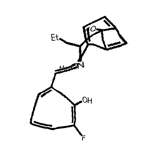 CCC(N=Cc1cccc(F)c1O)C1(O)C2=CC=C(OC)C1=C2